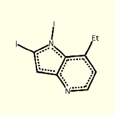 CCc1ccnc2cc(I)n(I)c12